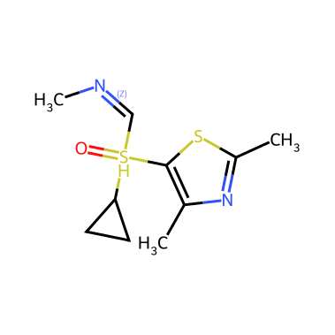 C/N=C\[SH](=O)(c1sc(C)nc1C)C1CC1